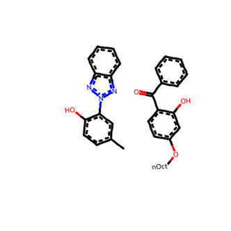 CCCCCCCCOc1ccc(C(=O)c2ccccc2)c(O)c1.Cc1ccc(O)c(-n2nc3ccccc3n2)c1